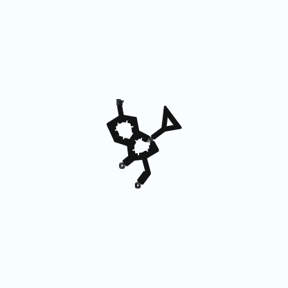 O=Cc1cn(C2CC2)c2cc(Br)ccc2c1=O